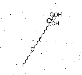 CCCCCCCCCOCCCCCCCCCCCCCc1cccc(OC(=O)O)c1O